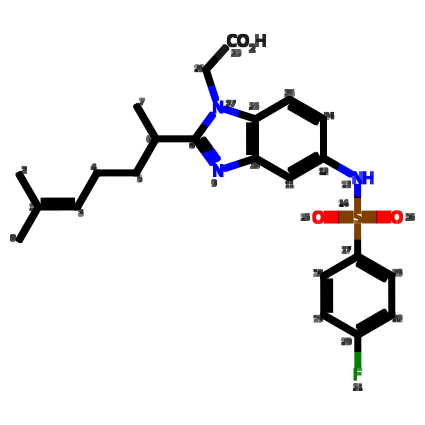 CC(C)=CCCC(C)c1nc2cc(NS(=O)(=O)c3ccc(F)cc3)ccc2n1CC(=O)O